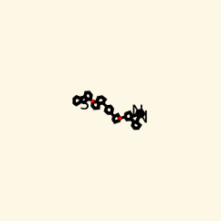 c1cc(-c2ccc(-c3cccc4c(-c5cccc6c5sc5ccccc56)cccc34)cc2)cc(-c2ccc3c(c2)c2ccccc2c2nccnc32)c1